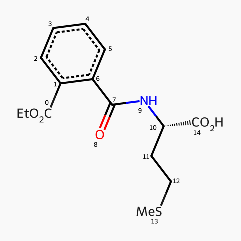 CCOC(=O)c1ccccc1C(=O)N[C@@H](CCSC)C(=O)O